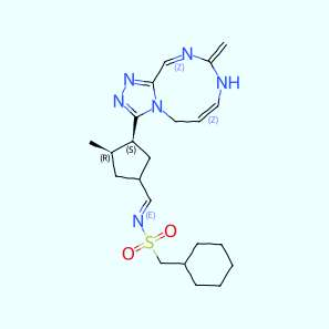 C=C1/N=C\c2nnc([C@H]3CC(/C=N/S(=O)(=O)CC4CCCCC4)C[C@H]3C)n2C/C=C\N1